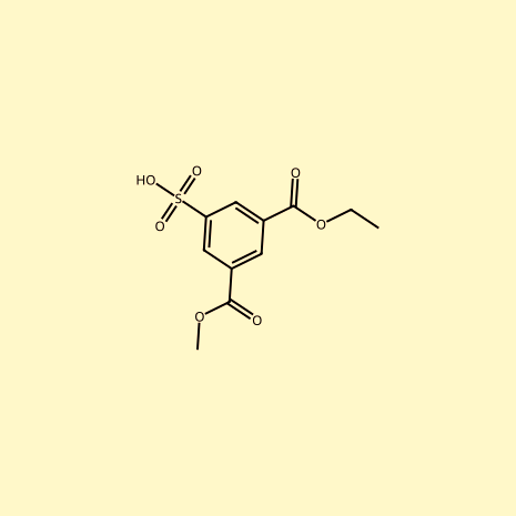 CCOC(=O)c1cc(C(=O)OC)cc(S(=O)(=O)O)c1